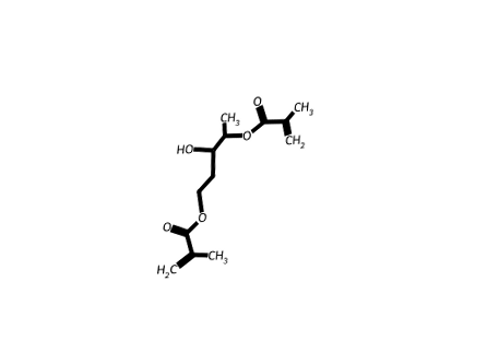 C=C(C)C(=O)OCCC(O)C(C)OC(=O)C(=C)C